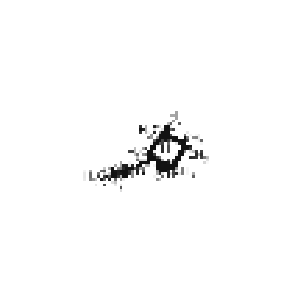 C=Cc1c(C)c2cc3nc(c4c5[nH]c(cc6nc(cc1[nH]2)C(C)=C6CC)c(C)c5C(=O)C4)C(CCC(=O)NCCNC(=O)OC(C)(C)C)C3C